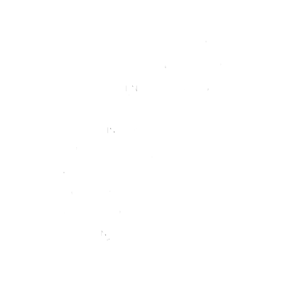 NC(CC1CCCCC1)C(=O)Nc1ccc2ccncc2c1